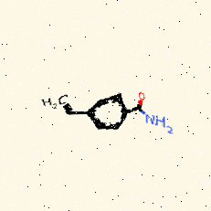 C=Cc1ccc(C(N)=O)cc1